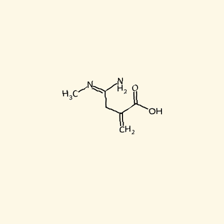 C=C(C/C(N)=N\C)C(=O)O